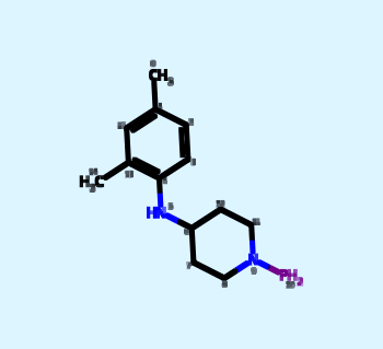 Cc1ccc(NC2CCN(P)CC2)c(C)c1